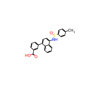 Cc1ccc([S+]([O-])Nc2ccc(-c3cccc(C(=O)O)c3)c3ccccc23)cc1